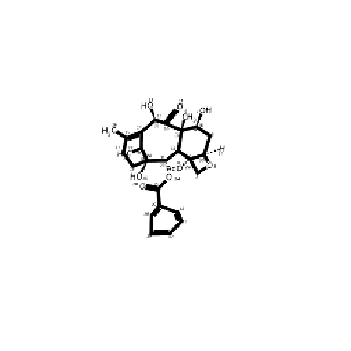 CC(=O)O[C@@]12CO[C@@H]1C[C@H](O)[C@@]1(C)C(=O)[C@H](O)C3=C(C)CC[C@](O)(C3C)[C@@H](OC(=O)c3ccccc3)C12